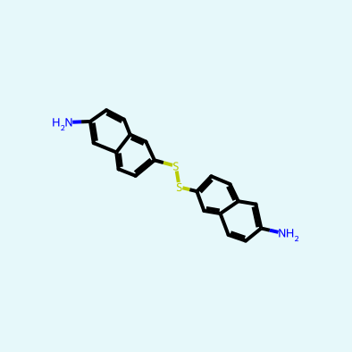 Nc1ccc2cc(SSc3ccc4cc(N)ccc4c3)ccc2c1